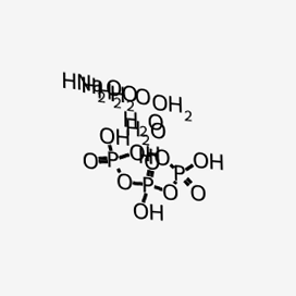 O.O.O.O.O.O.O=P(O)(O)OP(=O)(O)OP(=O)(O)O.[NaH]